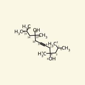 CC(C)CC(C)(O)CC#CCC(C)(O)CC(C)C